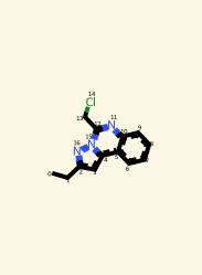 CCc1cc2c3ccccc3nc(CCl)n2n1